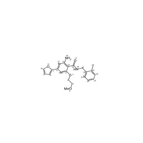 COCCOc1nc(-c2ccco2)nc(N)c1C(=O)NCc1ncccc1C